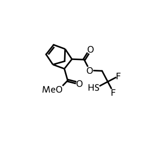 COC(=O)C1C2C=CC(C2)C1C(=O)OCC(F)(F)S